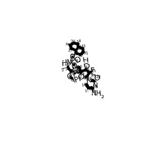 CC(C)OC(=O)[C@H](C)NP(=O)(OC[C@@]1(F)O[C@@H](n2ccc(N)nc2=O)[C@](C)(F)[C@@H]1O)Oc1cccc2ccccc12